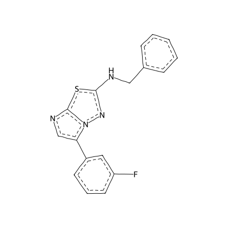 Fc1cccc(-c2cnc3sc(NCc4ccccc4)nn23)c1